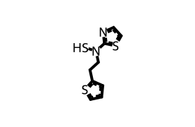 SN(CCc1cccs1)c1nccs1